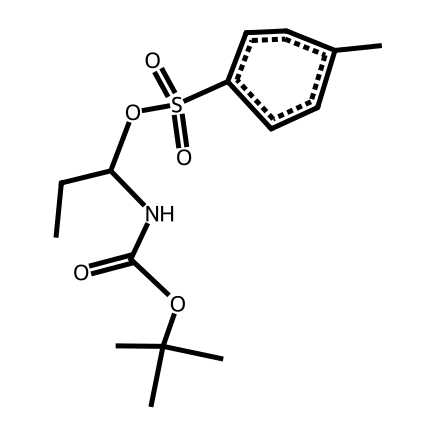 CCC(NC(=O)OC(C)(C)C)OS(=O)(=O)c1ccc(C)cc1